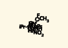 CCC[C@](NCc1ccc(F)c(C)c1)(NC(=N)N[N+](=O)[O-])C(=O)N[CH]CC(C)C